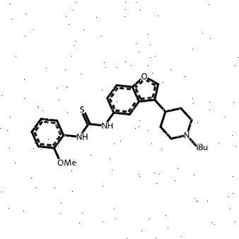 CCC(C)N1CCC(c2coc3ccc(NC(=S)Nc4ccccc4OC)cc23)CC1